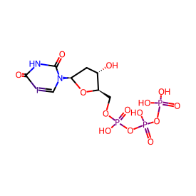 O=C1NC(=O)N([C@H]2C[C@H](O)[C@@H](COP(=O)(O)OP(=O)(O)OP(=O)(O)O)O2)C=I1